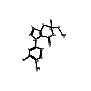 Cc1cc(-n2cnc3c2C(=O)O[C@@](C)(CO)C3)ccc1C#N